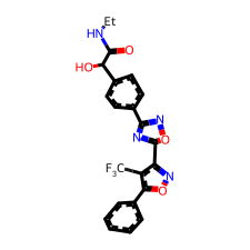 CCNC(=O)C(O)c1ccc(-c2noc(-c3noc(-c4ccccc4)c3C(F)(F)F)n2)cc1